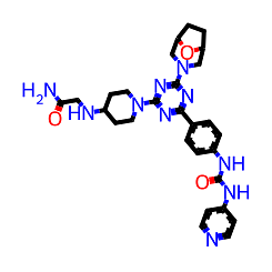 NC(=O)CNC1CCN(c2nc(-c3ccc(NC(=O)Nc4ccncc4)cc3)nc(N3CC4CCC(C3)O4)n2)CC1